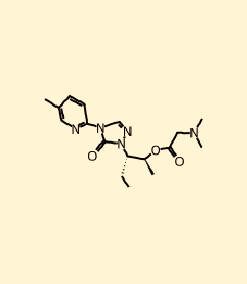 CC[C@@H]([C@H](C)OC(=O)CN(C)C)n1ncn(-c2ccc(C)cn2)c1=O